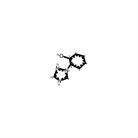 [O]c1ccccc1-n1cncn1